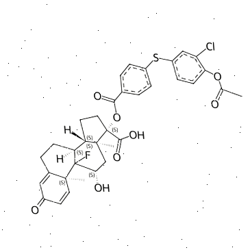 CC(=O)Oc1ccc(Sc2ccc(C(=O)O[C@@]3(C(=O)O)CC[C@H]4[C@@H]5CCC6=CC(=O)C=C[C@]6(C)C5(F)[C@@H](O)C[C@@]43C)cc2)cc1Cl